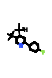 [2H]C(C)(C)c1cc(-c2ccc(F)cc2)ncc1[Si](C)(C)C